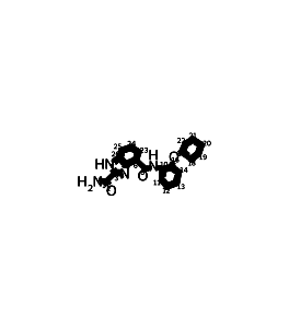 NC(=O)c1nc2c(C(=O)Nc3ccccc3Oc3ccccc3)cccc2[nH]1